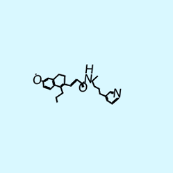 CCCC1=C(/C=C/C(=O)NC(C)CCCc2cccnc2)CCc2cc(OC)ccc21